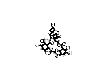 CCC1CC(C)(CCOC(=O)c2c(Cl)c(Cl)cc(Cl)c2OC(=O)C(=O)Oc2c(Cl)cc(Cl)c(Cl)c2C(=O)OCCC2(C)CC(CC)C2)C1